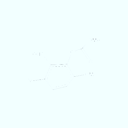 COC(=O)Oc1c(OC)ccc(Br)c1C=O